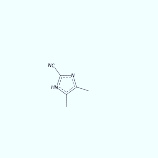 Cc1nc(C#N)[nH]c1C